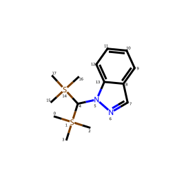 CS(C)(C)C(n1ncc2ccccc21)S(C)(C)C